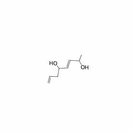 C=CCC(O)C=CC(C)O